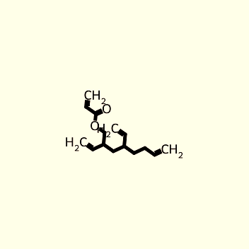 C=CCCC(C=C)CC(C=C)COC(=O)C=C